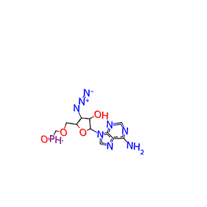 [N-]=[N+]=NC1C(COC[PH]=O)OC(n2cnc3c(N)ncnc32)C1O